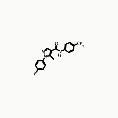 Cc1c(C(=O)Nc2ccc(C(F)(F)F)cc2)cnn1-c1ccc(F)cc1